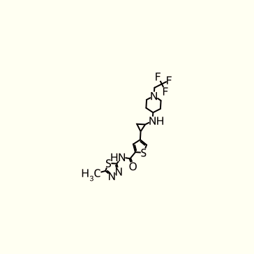 Cc1nnc(NC(=O)c2cc(C3CC3NC3CCN(CC(F)(F)F)CC3)cs2)s1